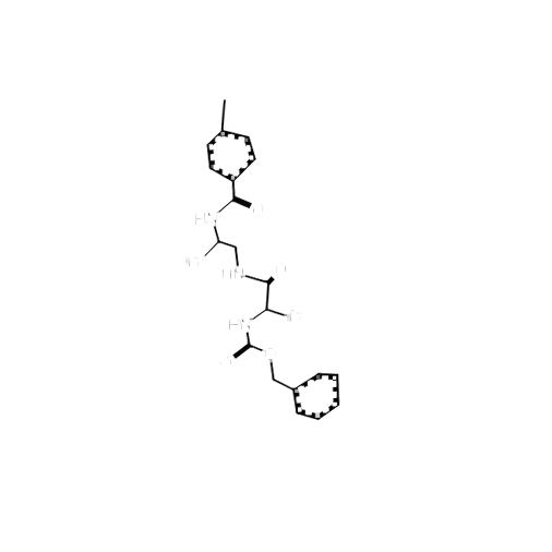 Cc1ccc(C(=O)NC(CNC(=O)C(NC(=O)OCc2ccccc2)C(C)C)C(C)C)cc1